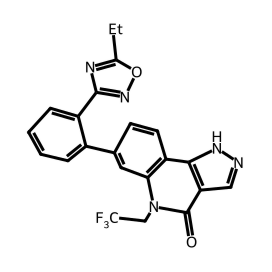 CCc1nc(-c2ccccc2-c2ccc3c4[nH]ncc4c(=O)n(CC(F)(F)F)c3c2)no1